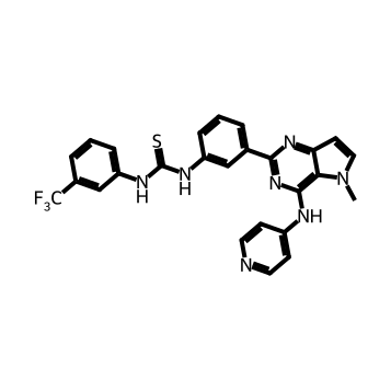 Cn1ccc2nc(-c3cccc(NC(=S)Nc4cccc(C(F)(F)F)c4)c3)nc(Nc3ccncc3)c21